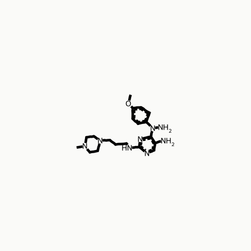 COc1ccc(N(N)c2nc(NCCCN3CCN(C)CC3)ncc2N)cc1